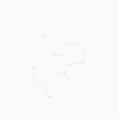 CCn1ncc(C(=O)c2ccc(S(C)(=O)=O)c(COC)c2C)c1O